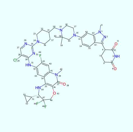 Cn1nc(C2CCC(=O)NC2=O)c2ccc(N3CCN(CC4CCN(c5ncc(Cl)c(Nc6cc7c8c(c(=O)n(C)c7cc6F)OCC(F)(F)[C@H](C6CC6)N8)n5)CC4)C(C)(C)C3)cc21